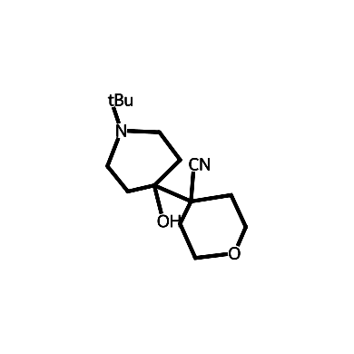 CC(C)(C)N1CCC(O)(C2(C#N)CCOCC2)CC1